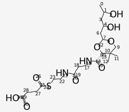 CC(O)CC(O)CC1OCC(C)(C)[C@H](C(=O)NCCC(=O)NCCSC(=O)CCC(=O)O)O1